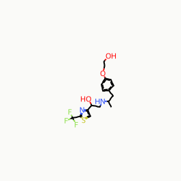 CC(Cc1ccc(OCCO)cc1)NCC(O)c1csc(C(F)(F)F)n1